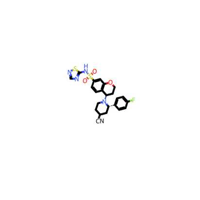 N#CC1CCN([C@@H]2CCOc3cc(S(=O)(=O)Nc4ncns4)ccc32)[C@H](c2ccc(F)cc2)C1